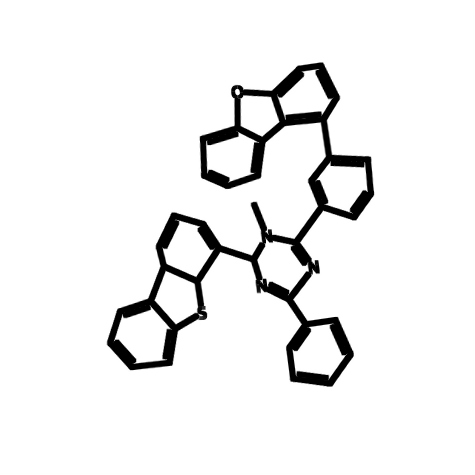 CN1C(c2cccc(-c3cccc4oc5ccccc5c34)c2)=NC(c2ccccc2)=NC1C1=CC=CC2c3ccccc3SC12